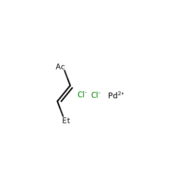 CCC=CC(C)=O.[Cl-].[Cl-].[Pd+2]